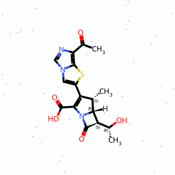 CC(=O)c1ncn2cc(C3=C(C(=O)O)N4C(=O)[C@H]([C@@H](C)O)[C@H]4[C@H]3C)sc12